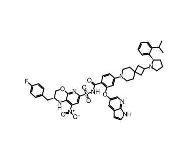 CC(C)c1ccccc1[C@H]1CCCN1C1CC2(CCN(c3ccc(C(=O)NS(=O)(=O)c4cc([N+](=O)[O-])c5c(n4)OC[C@H](Cc4ccc(F)cc4)N5)c(Oc4cnc5[nH]ccc5c4)c3)CC2)C1